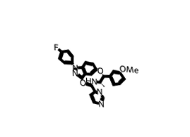 COc1cccc([C@@H](Oc2ccc3c(cnn3-c3ccc(F)cc3)c2)[C@H](C)NC(=O)c2ccncn2)c1